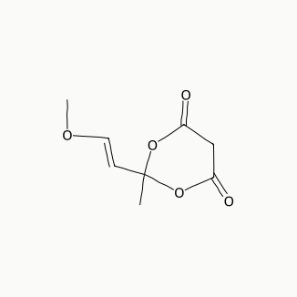 COC=CC1(C)OC(=O)CC(=O)O1